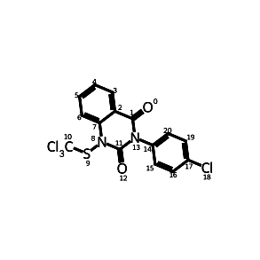 O=c1c2ccccc2n(SC(Cl)(Cl)Cl)c(=O)n1-c1ccc(Cl)cc1